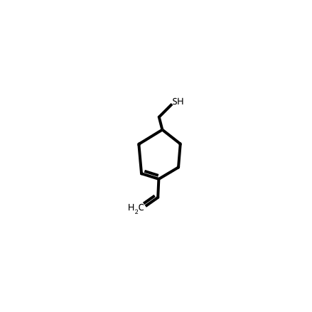 C=CC1=CCC(CS)CC1